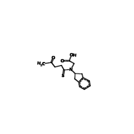 CC(=O)CCC(=S)N(CC(=O)O)C1Cc2ccccc2C1